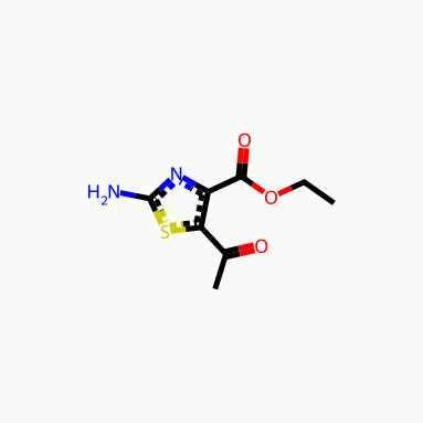 CCOC(=O)c1nc(N)sc1C(C)=O